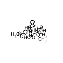 COC(=O)c1ccc(C(=O)Nn2cc(C[C@H](NC(=O)C(CC(=O)NO)CC(C)C)C(=O)O)c3ccccc32)cc1